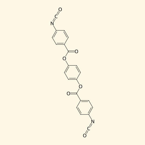 O=C=Nc1ccc(C(=O)Oc2ccc(OC(=O)c3ccc(N=C=O)cc3)cc2)cc1